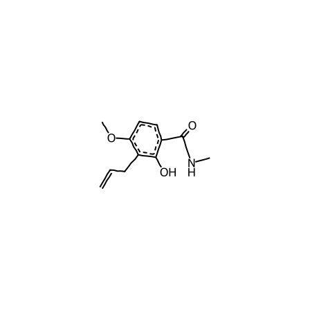 C=CCc1c(OC)ccc(C(=O)NC)c1O